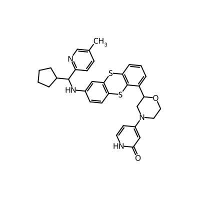 Cc1ccc(C(Nc2ccc3c(c2)Sc2cccc(C4CN(c5cc[nH]c(=O)c5)CCO4)c2S3)C2CCCC2)nc1